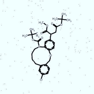 COC(=O)C(CC(=O)OC(C)(C)C)c1ccc2c(c1)N(C(=O)OC(C)(C)C)CCCCc1cc(Cl)ccc1CO2